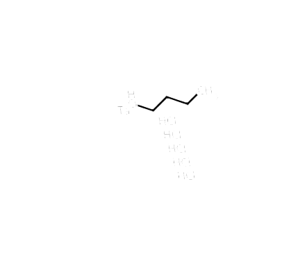 CCCCO.Cl.Cl.Cl.Cl.Cl.[Ta]